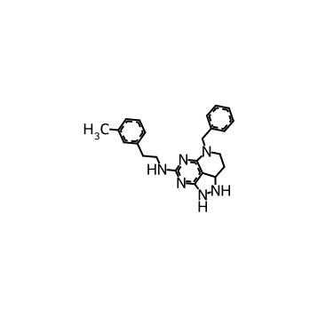 Cc1cccc(CCNc2nc3c4c(n2)N(Cc2ccccc2)CCC4NN3)c1